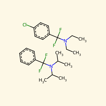 CC(C)N(C(C)C)C(F)(F)c1ccccc1.CCN(CC)C(F)(F)c1ccc(Cl)cc1